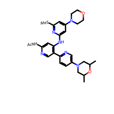 CSc1cc(N2CCOCC2)cc(Nc2cc(NC(C)=O)ncc2-c2ccc(N3CC(C)OC(C)C3)cn2)n1